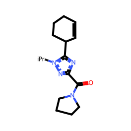 CC(C)n1nc(C(=O)N2CCCC2)nc1C1C=CCCC1